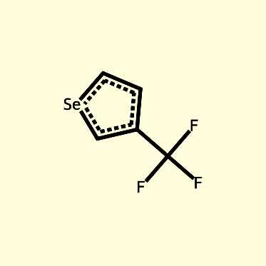 FC(F)(F)c1cc[se]c1